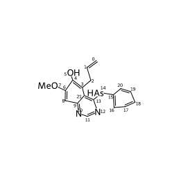 C=CCc1c(O)c(OC)cc2ncnc([AsH]c3ccccc3)c12